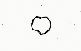 [C]1=C\C=C\CCC/C=C\C=C\C/1